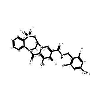 Cc1cc(F)c(CNC(=O)c2cn3c(c(O)c2=O)C(=O)N2CC3CS(=O)(=O)c3ccccc32)c(F)c1